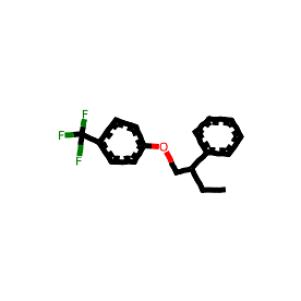 CCC(COc1ccc(C(F)(F)F)cc1)c1ccccc1